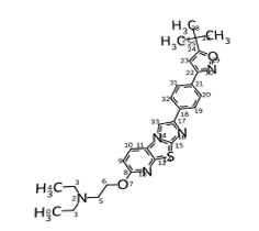 CCN(CC)CCOc1ccc2c(n1)sc1nc(-c3ccc(-c4cc(C(C)(C)C)on4)cc3)cn12